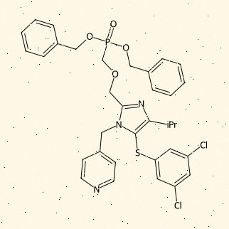 CC(C)c1nc(COCP(=O)(OCc2ccccc2)OCc2ccccc2)n(Cc2ccncc2)c1Sc1cc(Cl)cc(Cl)c1